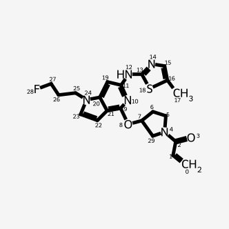 C=CC(=O)N1CCC(Oc2nc(Nc3ncc(C)s3)cc3c2ccn3CCCF)C1